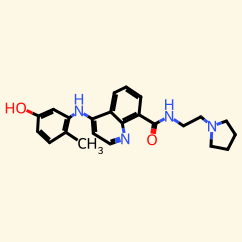 Cc1ccc(O)cc1Nc1ccnc2c(C(=O)NCCN3CCCC3)cccc12